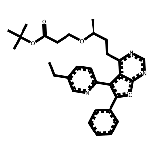 CCc1ccc(-c2c(-c3ccccc3)oc3ncnc(CC[C@H](C)OCCC(=O)OC(C)(C)C)c23)nc1